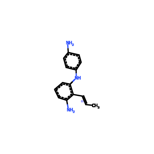 C/C=C/c1c(N)cccc1Nc1ccc(N)cc1